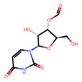 O=CO[C@H]1[C@@H](O)[C@H](n2ccc(=O)[nH]c2=O)O[C@@H]1CO